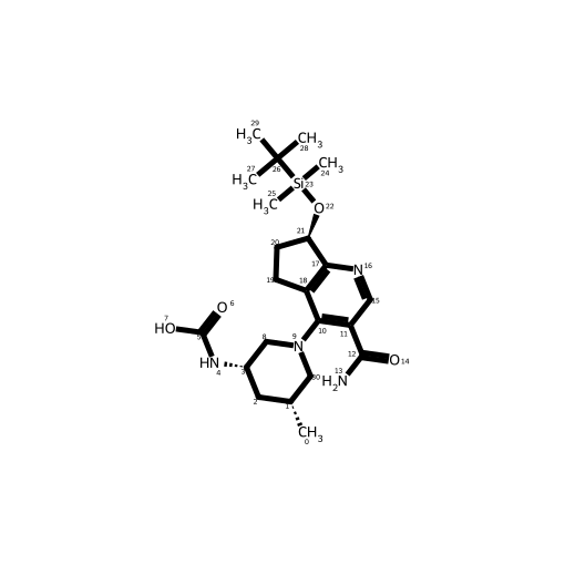 C[C@@H]1C[C@H](NC(=O)O)CN(c2c(C(N)=O)cnc3c2CC[C@H]3O[Si](C)(C)C(C)(C)C)C1